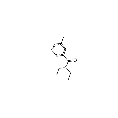 CCN(CC)C(=O)c1cncc(C)c1